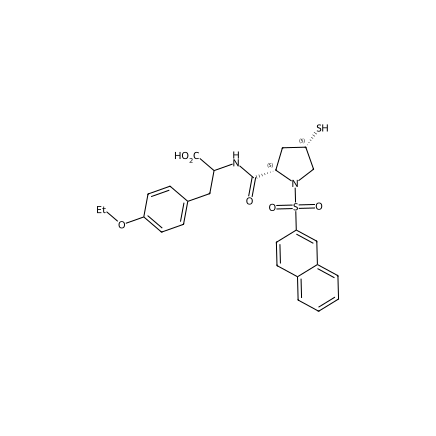 CCOc1ccc(CC(NC(=O)[C@@H]2C[C@H](S)CN2S(=O)(=O)c2ccc3ccccc3c2)C(=O)O)cc1